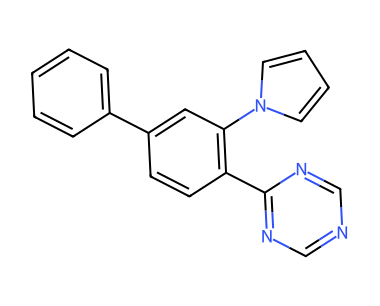 c1ccc(-c2ccc(-c3ncncn3)c(-n3cccc3)c2)cc1